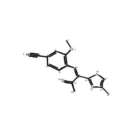 COc1cc(C#N)ccc1C=C(C(C)=O)c1nc(C)cs1